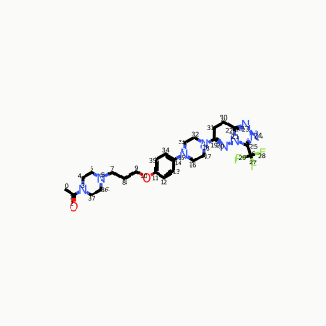 CC(=O)N1CCN(CCCOc2ccc(N3CCN(C4=Nn5c(nnc5C(F)(F)F)CC4)CC3)cc2)CC1